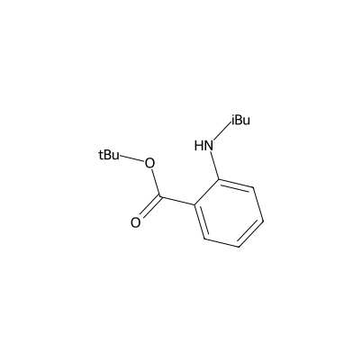 CCC(C)Nc1ccccc1C(=O)OC(C)(C)C